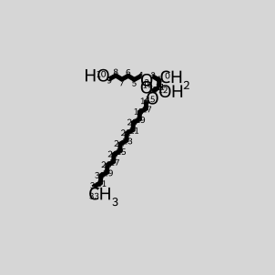 C=C(COCCCCCCO)C(O)C(=O)OCCCCCCCCCCCCCCCCCC